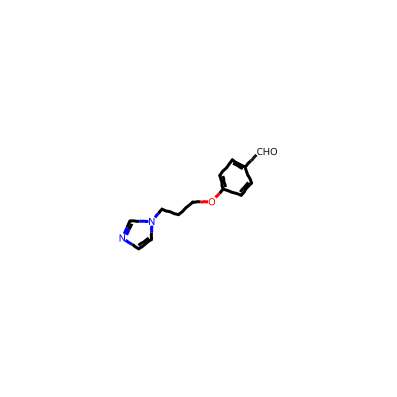 O=Cc1ccc(OCCCn2ccnc2)cc1